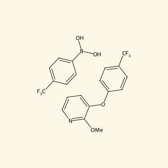 COc1ncccc1Oc1ccc(C(F)(F)F)cc1.OB(O)c1ccc(C(F)(F)F)cc1